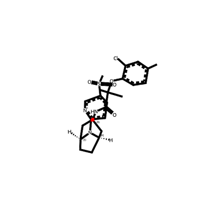 Cc1ccc(OC(C)(C)C(=O)N[C@H]2C[C@H]3CC[C@@H](C2)N3c2ccc(S(C)(=O)=O)cn2)c(Cl)c1